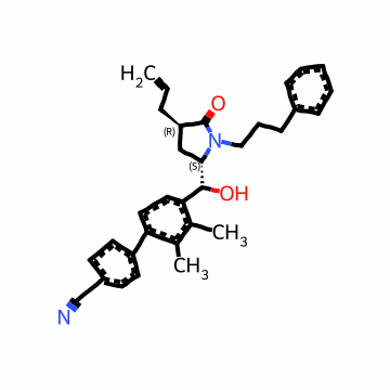 C=CC[C@@H]1C[C@@H](C(O)c2ccc(-c3ccc(C#N)cc3)c(C)c2C)N(CCCc2ccccc2)C1=O